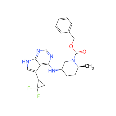 C[C@H]1CC[C@@H](Nc2ncnc3[nH]cc(C4CC4(F)F)c23)CN1C(=O)OCc1ccccc1